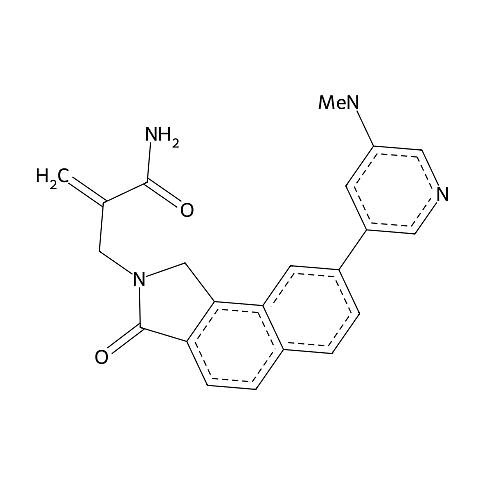 C=C(CN1Cc2c(ccc3ccc(-c4cncc(NC)c4)cc23)C1=O)C(N)=O